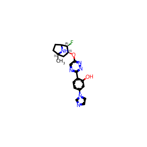 C[C@@]12CCC(N1)[C@@H](F)[C@@H](Oc1cnc(-c3ccc(-n4ccnc4)cc3O)nn1)C2